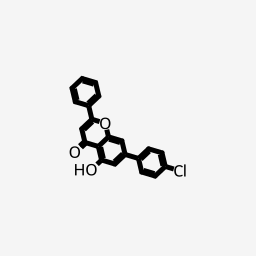 O=c1cc(-c2ccccc2)oc2cc(-c3ccc(Cl)cc3)cc(O)c12